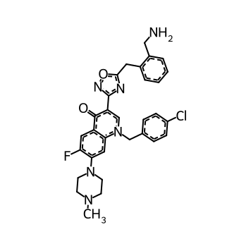 CN1CCN(c2cc3c(cc2F)c(=O)c(-c2noc(Cc4ccccc4CN)n2)cn3Cc2ccc(Cl)cc2)CC1